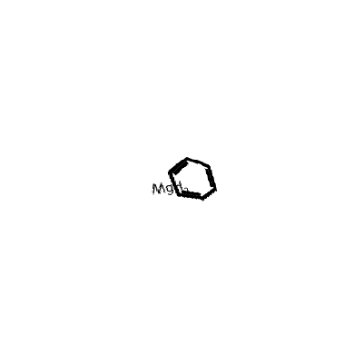 [MgH2].c1ccccc1